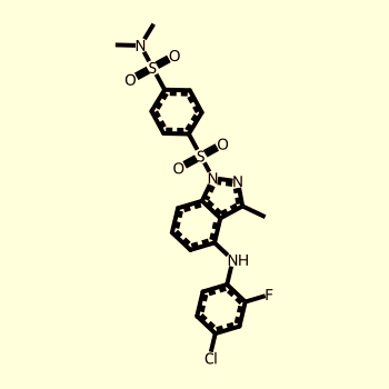 Cc1nn(S(=O)(=O)c2ccc(S(=O)(=O)N(C)C)cc2)c2cccc(Nc3ccc(Cl)cc3F)c12